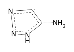 Nc1[c]nn[nH]1